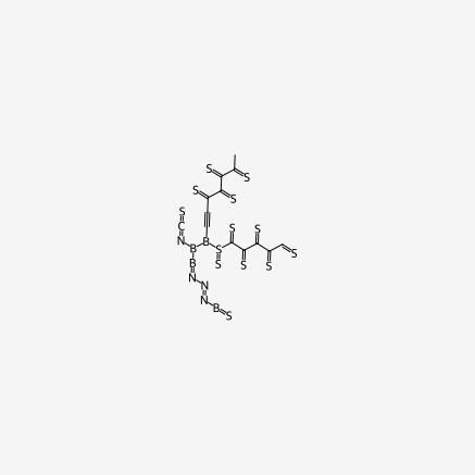 CC(=S)C(=S)C(=S)C(=S)C#CB(B(/B=N/N=N/B=S)N=C=S)S(=S)C(=S)C(=S)C(=S)C(=S)C=S